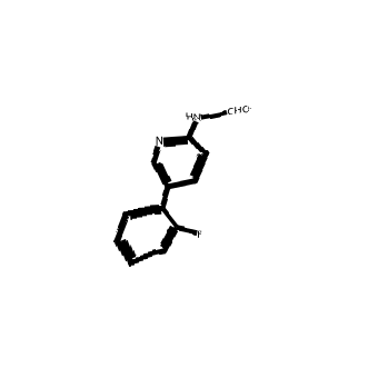 O=[C]Nc1ccc(-c2ccccc2F)cn1